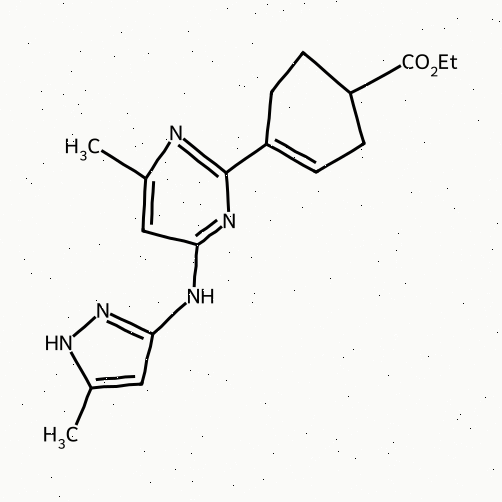 CCOC(=O)C1CC=C(c2nc(C)cc(Nc3cc(C)[nH]n3)n2)CC1